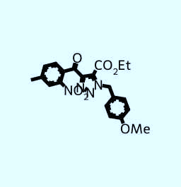 CCOC(=O)c1c(C(=O)c2ccc(C)cc2[N+](=O)[O-])nnn1Cc1ccc(OC)cc1